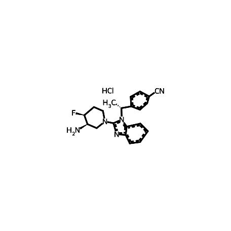 C[C@H](c1ccc(C#N)cc1)n1c(N2CC[C@H](F)[C@H](N)C2)nc2ccccc21.Cl